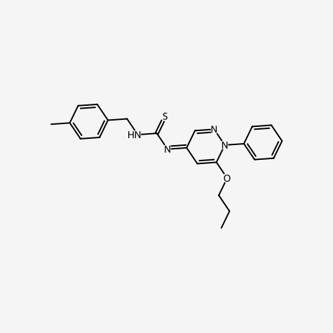 CCCOc1c/c(=N/C(=S)NCc2ccc(C)cc2)cnn1-c1ccccc1